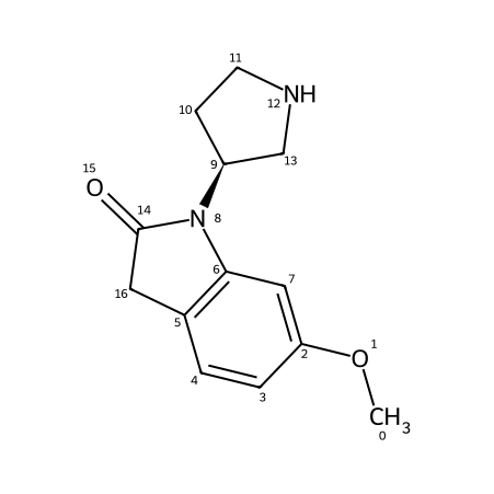 COc1ccc2c(c1)N([C@H]1CCNC1)C(=O)C2